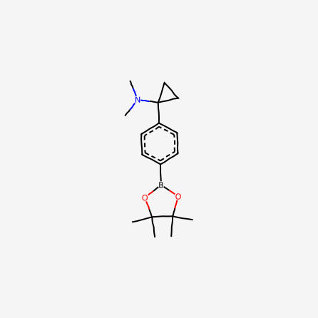 CN(C)C1(c2ccc(B3OC(C)(C)C(C)(C)O3)cc2)CC1